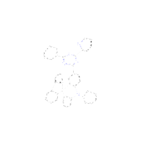 c1ccc(-c2nc(-c3ccc4c(c3)C3(c5ccccc5-c5ccccc53)c3ccccc3N4c3ccccc3)nc(-c3ccccn3)n2)cc1